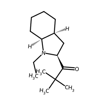 CCN1[C@H](C(=O)C(C)(C)C)C[C@@H]2CCCC[C@@H]21